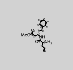 C=CCC(N)C(=O)N[C@@H](CCc1ccccc1)CC(=O)OC